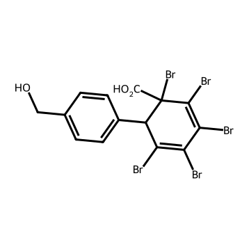 O=C(O)C1(Br)C(Br)=C(Br)C(Br)=C(Br)C1c1ccc(CO)cc1